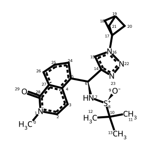 Cn1ccc2c([C@H](N[S@@+]([O-])C(C)(C)C)c3cn(C45CC(C4)C5)nn3)cccc2c1=O